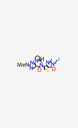 CNc1ncc2c(n1)N1CCC[C@H]1CN(c1csc3c(=O)n(CCF)c(C)nc13)C2=O